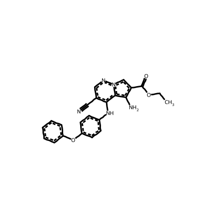 CCOC(=O)c1cn2ncc(C#N)c(Nc3ccc(Oc4ccccc4)cc3)c2c1N